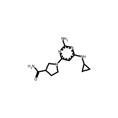 NC(=O)C1CCN(c2cc(NC3CC3)nc(N)n2)C1